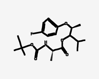 CC(C)C(OC(=O)[C@H](C)NC(=O)OC(C)(C)C)[C@H](C)Oc1ccc(F)cc1